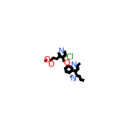 C=C/C=C(/c1cc(C)nc2c(OCc3c(Cl)cncc3CCC(=O)OC)cccc12)N(C)C